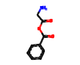 NCC(=O)OC(=O)c1ccccc1